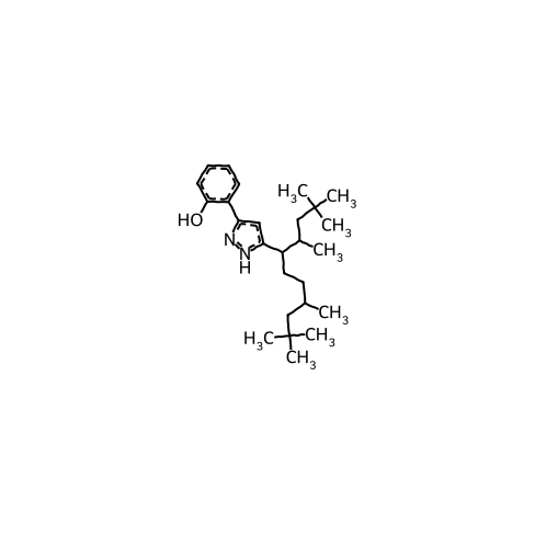 CC(CCC(c1cc(-c2ccccc2O)n[nH]1)C(C)CC(C)(C)C)CC(C)(C)C